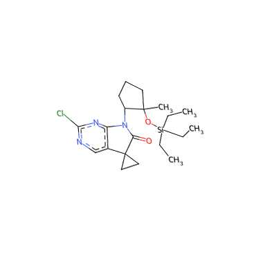 CC[Si](CC)(CC)OC1(C)CCCC1N1C(=O)C2(CC2)c2cnc(Cl)nc21